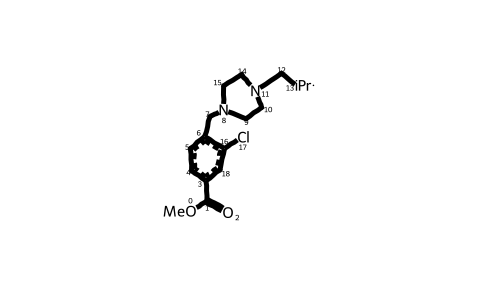 COC(=O)c1ccc(CN2CCN(C[C](C)C)CC2)c(Cl)c1